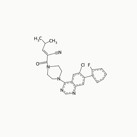 CC(C)/C=C(\C#N)C(=O)N1CCN(c2ncnc3cc(-c4ccccc4F)c(Cl)cc23)CC1